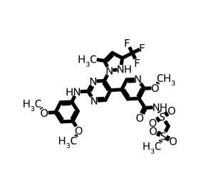 COc1cc(Nc2ncc(-c3cnc(OC)c(C(=O)NS(=O)(=O)CS(C)(=O)=O)c3)c(N3NC(C(F)(F)F)C=C3C)n2)cc(OC)c1